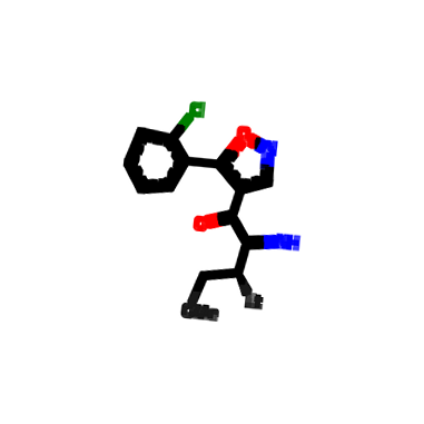 CC[C@@H](COC)C(=N)C(=O)c1cnoc1-c1ccccc1Cl